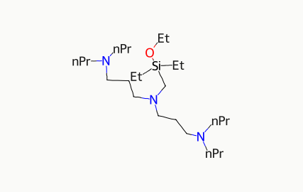 CCCN(CCC)CCCN(CCCN(CCC)CCC)C[Si](CC)(CC)OCC